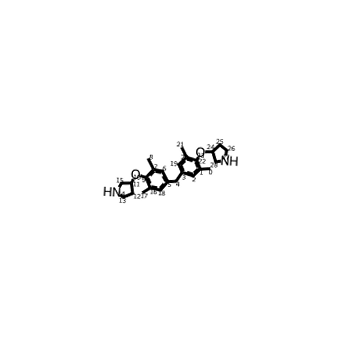 Cc1cc(Cc2cc(C)c(OC3CCNC3)c(C)c2)cc(C)c1OC1CCNC1